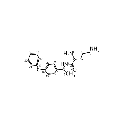 CC(NC(=O)C(N)CCCN)c1ccc(Oc2ccccc2)cc1